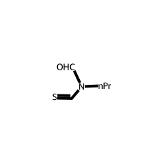 CCCN(C=O)C=S